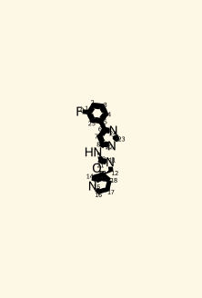 Fc1cccc(-c2cc(NC3=NC[C@@]4(CN5CCC4CC5)O3)ncn2)c1